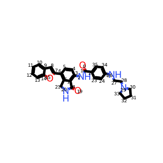 O=C(Nc1ccc(-c2cc3ccccc3o2)c2c1C(=O)NC2)c1ccc(NCCN2CCCC2)cc1